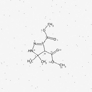 COC(=O)C1=NNC(C)(C)C1C(=O)OC